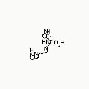 Cn1ncc2c(C(=O)NC(CCN3CC[C@@H](CCc4ccc5c(n4)NCCC5)C3)C(=O)O)cccc21